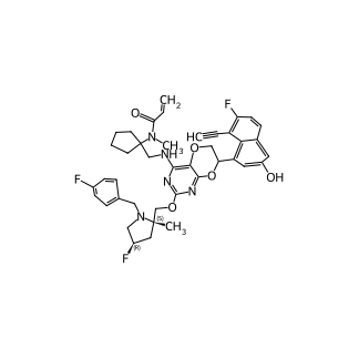 C#Cc1c(F)ccc2cc(O)cc(C3COc4c(NCC5(N(C)C(=O)C=C)CCCC5)nc(OC[C@]5(C)C[C@@H](F)CN5Cc5ccc(F)cc5)nc4O3)c12